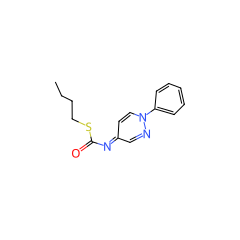 CCCCSC(=O)N=c1ccn(-c2ccccc2)nc1